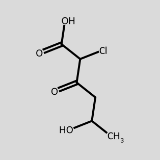 CC(O)CC(=O)C(Cl)C(=O)O